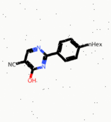 CCCCCCc1ccc(-c2ncc(C#N)c(O)n2)cc1